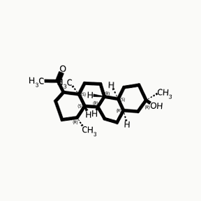 CC(=O)C1CC[C@@H](C)[C@H]2[C@@H]3CC[C@@H]4C[C@](C)(O)CC[C@@H]4[C@H]3CC[C@]12C